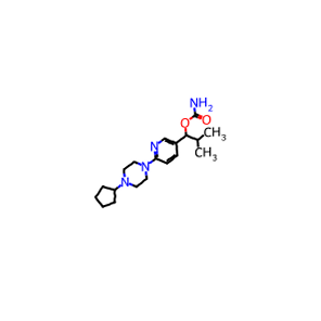 CC(C)C(OC(N)=O)c1ccc(N2CCN(C3CCCC3)CC2)nc1